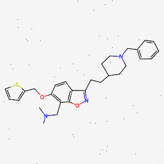 CN(C)Cc1c(OCc2cccs2)ccc2c(CCC3CCN(Cc4ccccc4)CC3)noc12